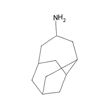 NC1CC2CC3CC(C1)C(C2)C3